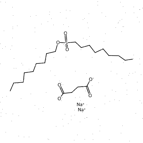 CCCCCCCCCOS(=O)(=O)CCCCCCCCC.O=C([O-])CCC(=O)[O-].[Na+].[Na+]